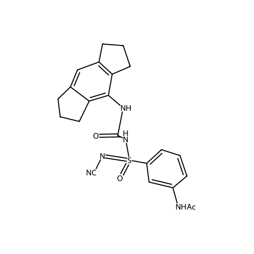 CC(=O)Nc1cccc(S(=O)(=NC#N)NC(=O)Nc2c3c(cc4c2CCC4)CCC3)c1